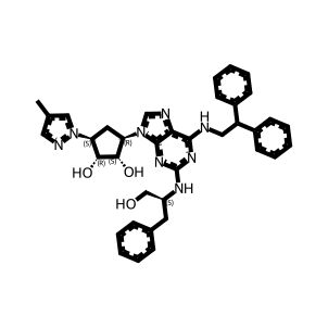 Cc1cnn([C@H]2C[C@@H](n3cnc4c(NCC(c5ccccc5)c5ccccc5)nc(N[C@H](CO)Cc5ccccc5)nc43)[C@H](O)[C@@H]2O)c1